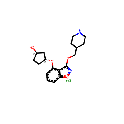 Cl.O[C@@H]1CC[C@@H](Oc2cccc3onc(OCC4CCNCC4)c23)C1